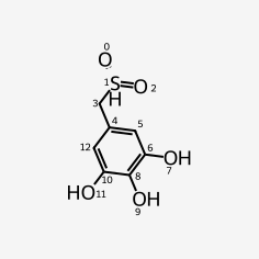 O=[SH](=O)Cc1cc(O)c(O)c(O)c1